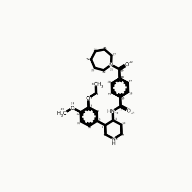 CCOc1cc(C2CNCCC2NC(=O)c2ccc(C(=O)N3CCCCCC3)cc2)ccc1OC